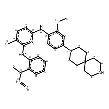 COc1cc(N2CCC3(CCNCC3)CC2)ccc1Nc1ncc(Cl)c(Nc2ccccc2N(C)[SH]=O)n1